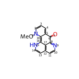 COn1cccc2c(=O)c3nccc4cc[nH]c(c43)c21